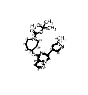 Cn1cc(-c2cn3nccc3c(OC3CCCN(C(=O)OC(C)(C)C)CC3)n2)cn1